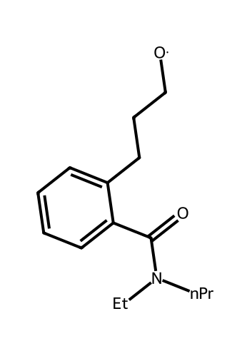 CCCN(CC)C(=O)c1ccccc1CCC[O]